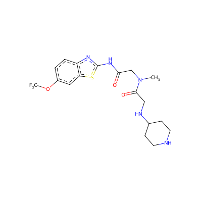 CN(CC(=O)Nc1nc2ccc(OC(F)(F)F)cc2s1)C(=O)CNC1CCNCC1